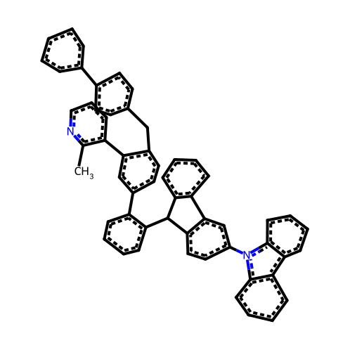 Cc1ncccc1-c1cc(-c2ccccc2C2c3ccccc3-c3cc(-n4c5ccccc5c5ccccc54)ccc32)ccc1Cc1ccc(-c2ccccc2)cc1